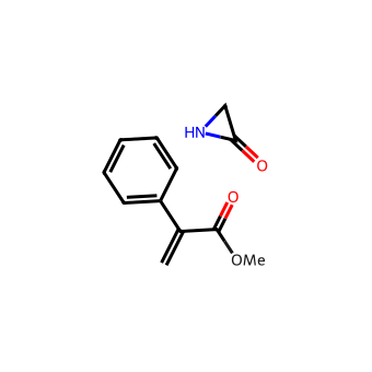 C=C(C(=O)OC)c1ccccc1.O=C1CN1